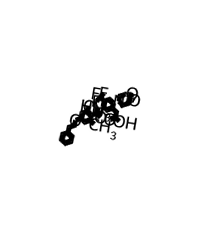 Cc1cc(OCCc2ccccc2)cc(C)c1C(=O)Nc1cc(CC(=O)O)c(N2CCS(=O)(=O)CC2)cc1C(F)(F)F